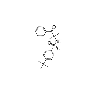 CC(C)(NS(=O)(=O)c1ccc(C(C)(C)C)cc1)C(=O)c1ccccc1